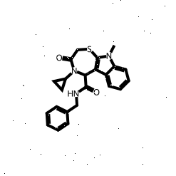 Cn1c2c(c3ccccc31)C(C(=O)NCc1ccccc1)N(C1CC1)C(=O)CS2